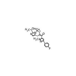 CC(O)c1ncc2n1[C@@H](C)CN(C(=O)c1cc(-c3ccc(F)cc3)nn1C)C2